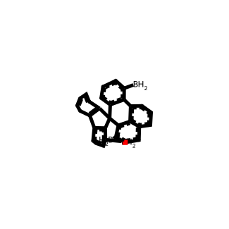 Bc1cccc2c1-c1cccc3ccc(B)c(c13)C21C2=C(CC=CC=C2)c2cccc(B)c21